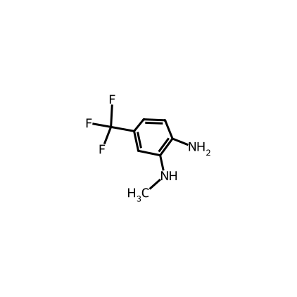 CNc1cc(C(F)(F)F)ccc1N